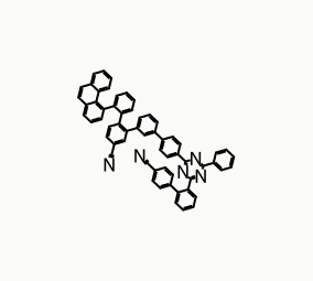 N#Cc1ccc(-c2ccccc2-c2nc(-c3ccccc3)nc(-c3ccc(-c4cccc(-c5cc(C#N)ccc5-c5ccccc5-c5cccc6ccc7ccccc7c56)c4)cc3)n2)cc1